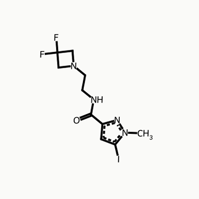 Cn1nc(C(=O)NCCN2CC(F)(F)C2)cc1I